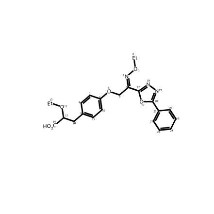 CCON=C(COc1ccc(CC(OCC)C(=O)O)cc1)c1nnc(-c2ccccc2)o1